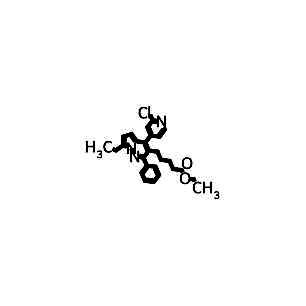 CCOC(=O)CCCCc1c(-c2ccccc2)nn2c(CC)ccc2c1-c1ccnc(Cl)c1